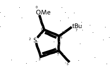 COc1scc(C)c1C(C)(C)C